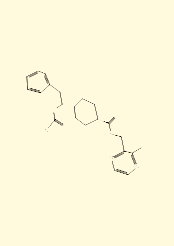 NC(=O)OC(Cc1ccccc1)[C@H]1CC[C@H](C(=O)NCc2nccnc2Cl)CC1